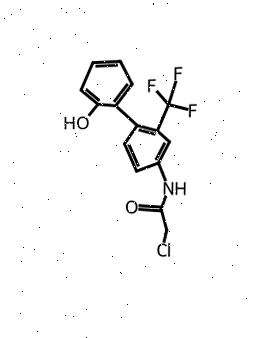 O=C(CCl)Nc1ccc(-c2ccccc2O)c(C(F)(F)F)c1